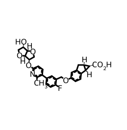 Cc1nc(O[C@@H]2CO[C@H]3[C@@H]2OC[C@@H]3O)ccc1-c1ccc(F)c(COc2ccc3c(c2)C[C@H]2[C@H](C(=O)O)[C@@H]32)c1